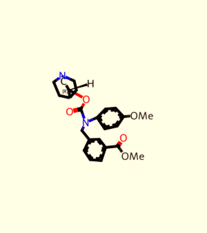 COC(=O)c1cccc(CN(C(=O)O[C@H]2CN3CCC2CC3)c2ccc(OC)cc2)c1